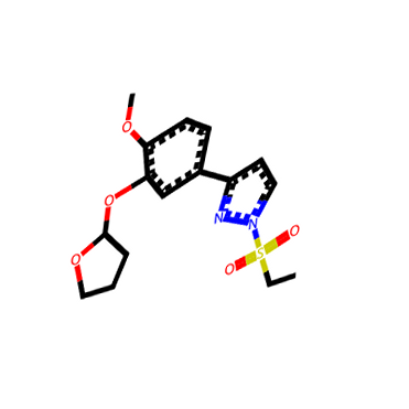 CCS(=O)(=O)n1ccc(-c2ccc(OC)c(OC3CCCO3)c2)n1